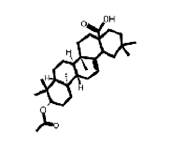 CC(=O)O[C@H]1CC[C@]2(C)[C@H]3CC=C4C5CC(C)(C)CCC5(C(=O)O)CC[C@@]4(C)[C@@H]3CC[C@H]2C1(C)C